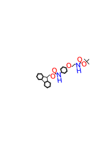 CC(C)(C)OC(=O)NCCOc1ccc(NC(=O)OCC2c3ccccc3-c3ccccc32)cc1